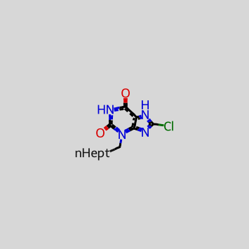 CCCCCCCCn1c(=O)[nH]c(=O)c2[nH]c(Cl)nc21